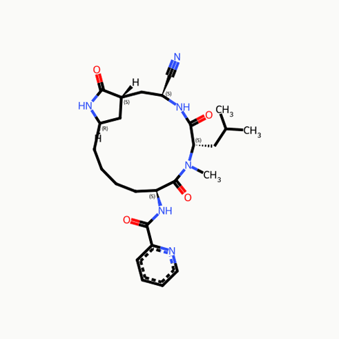 CC(C)C[C@H]1C(=O)N[C@H](C#N)C[C@@H]2C[C@@H](CCCC[C@H](NC(=O)c3ccccn3)C(=O)N1C)NC2=O